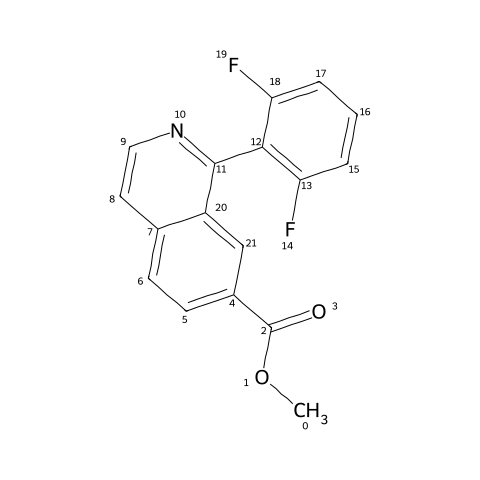 COC(=O)c1ccc2ccnc(-c3c(F)cccc3F)c2c1